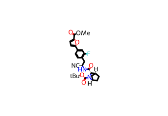 COC(=O)c1ccc(-c2ccc(C[C@@H](C#N)NC(=O)[C@@H]3[C@H]4CC[C@H](C4)N3C(=O)OC(C)(C)C)c(F)c2)o1